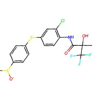 C[S+]([O-])c1ccc(Sc2ccc(NC(=O)C(C)(O)C(F)(F)F)c(Cl)c2)cc1